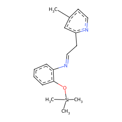 Cc1ccnc(CC=Nc2ccccc2O[Si](C)(C)C)c1